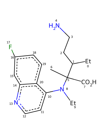 CCC(CCN)C(C)(C(=O)O)N(CC)c1ccnc2cc(F)ccc12